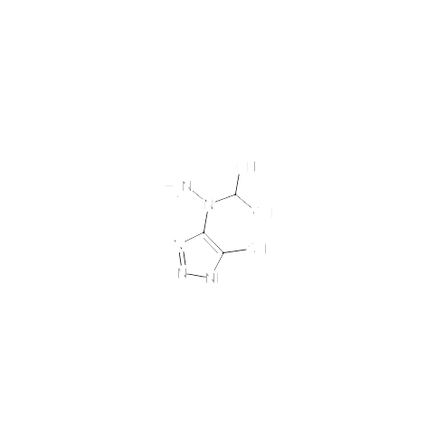 CC(C)N(N)c1nn[nH]c1S